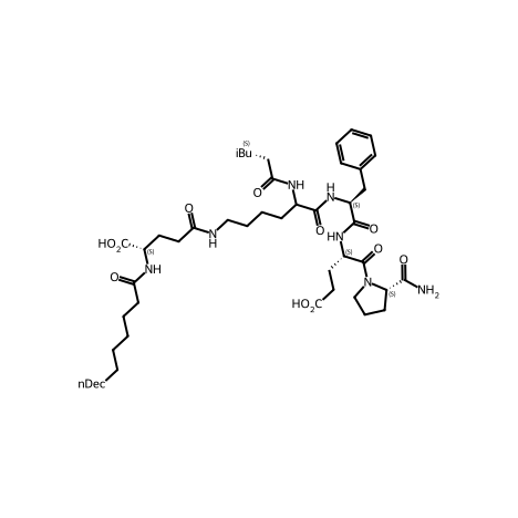 CCCCCCCCCCCCCCCC(=O)N[C@@H](CCC(=O)NCCCCC(NC(=O)C[C@@H](C)CC)C(=O)N[C@@H](Cc1ccccc1)C(=O)N[C@@H](CCC(=O)O)C(=O)N1CCC[C@H]1C(N)=O)C(=O)O